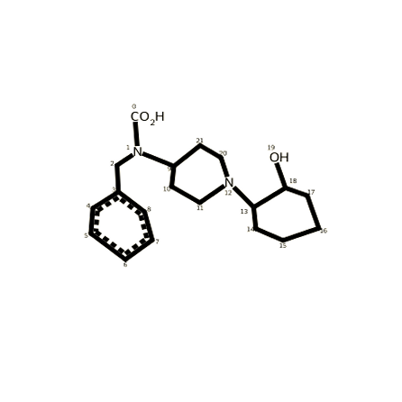 O=C(O)N(Cc1ccccc1)C1CCN(C2CCCCC2O)CC1